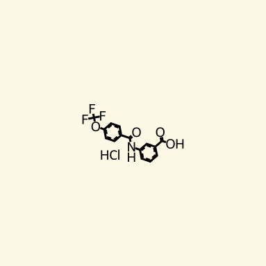 Cl.O=C(O)c1cccc(NC(=O)c2ccc(OC(F)(F)F)cc2)c1